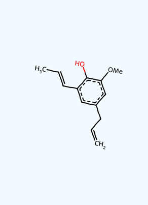 C=CCc1cc(C=CC)c(O)c(OC)c1